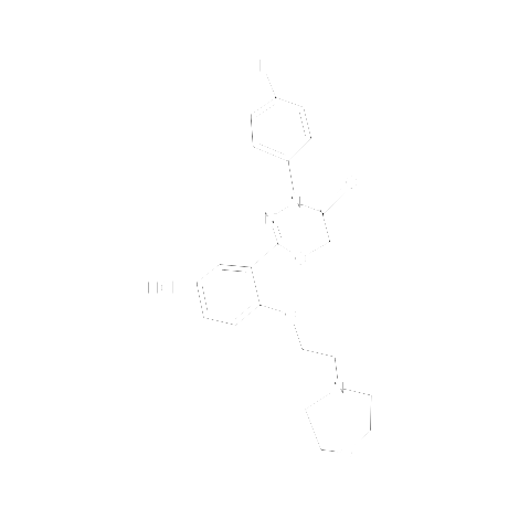 Cl.O=C1COC(c2ccccc2OCCN2CCOCC2)=NN1c1ccc(F)cc1